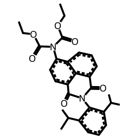 CCOC(=O)N(C(=O)OCC)c1ccc2c3c(cccc13)C(=O)N(c1c(C(C)C)cccc1C(C)C)C2=O